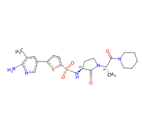 Cc1cc(-c2ccc(S(=O)(=O)N[C@H]3CCN([C@@H](C)C(=O)N4CCCCC4)C3=O)s2)cnc1N